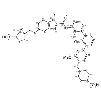 COc1nc(-c2cccc(-c3cccc(NC(=O)c4nc5c(n4C)CCN(CCC46CCC(C(=O)O)(CC4)C6)C5)c3Cl)c2Cl)ccc1CN1CCC(C(=O)O)CC1